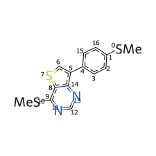 CSc1ccc(-c2csc3c(SC)ncnc23)cc1